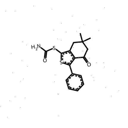 CC1(C)CC(=O)c2c(-c3ccccc3)sc(SC(N)=O)c2C1